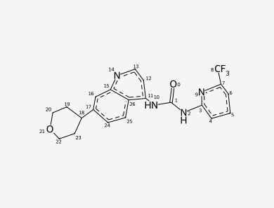 O=C(Nc1cccc(C(F)(F)F)n1)Nc1ccnc2cc(C3CCOCC3)ccc12